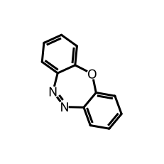 c1ccc2c(c1)N=Nc1ccccc1O2